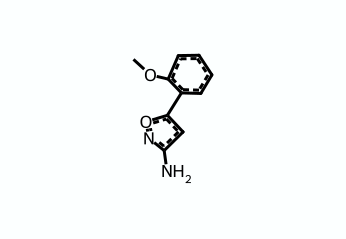 COc1ccccc1-c1cc(N)no1